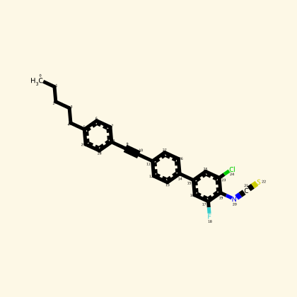 CCCCCc1ccc(C#Cc2ccc(-c3cc(F)c(N=C=S)c(Cl)c3)cc2)cc1